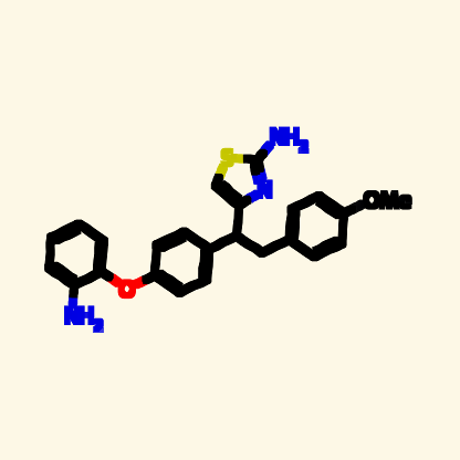 COc1ccc(CC(c2ccc(Oc3ccccc3N)cc2)c2csc(N)n2)cc1